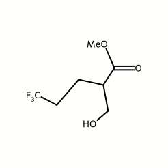 COC(=O)C(CO)CCC(F)(F)F